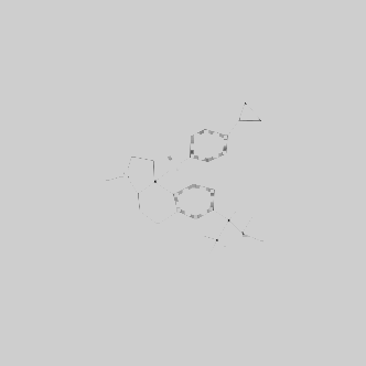 O=S(=O)(c1ccc(C2CC2)cc1)C12CCN(Cl)C1CCc1cc(C(F)(C(F)(F)F)C(F)(F)F)ccc12